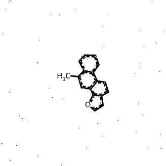 Cc1cc2c(ccc3ccoc32)c2ccccc12